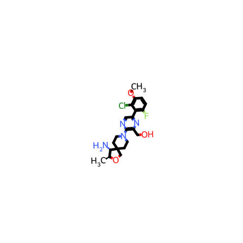 COc1ccc(F)c(-c2cnc(N3CCC4(CC3)CO[C@@H](C)[C@H]4N)c(CO)n2)c1Cl